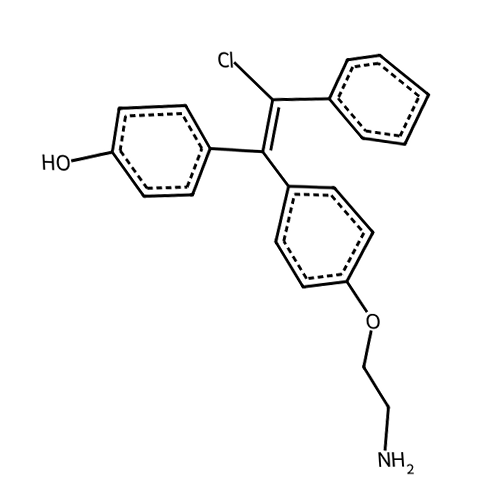 NCCOc1ccc(/C(=C(/Cl)c2ccccc2)c2ccc(O)cc2)cc1